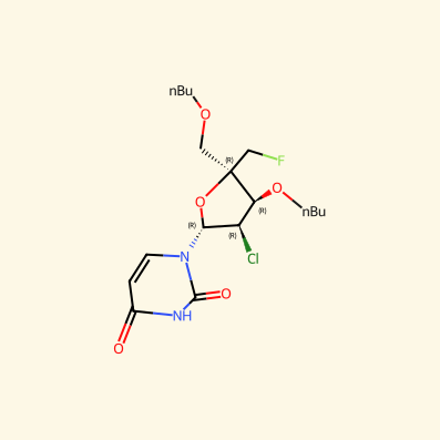 CCCCOC[C@@]1(CF)O[C@@H](n2ccc(=O)[nH]c2=O)[C@H](Cl)[C@@H]1OCCCC